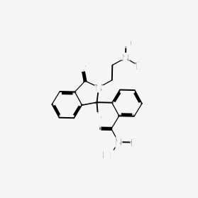 CCN(CC)CCN1C(=O)c2ccccc2C1(O)c1ccccc1C(=O)N(CC)CC